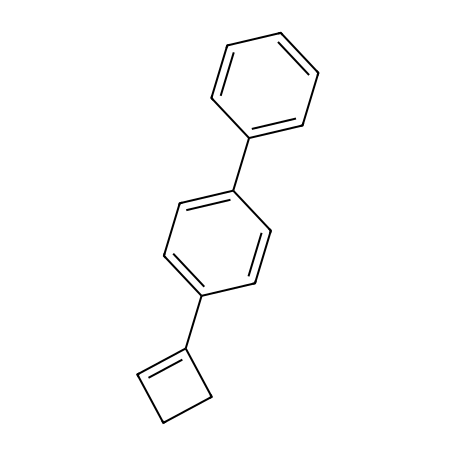 C1=C(c2ccc(-c3ccccc3)cc2)CC1